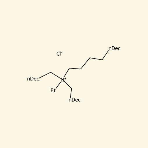 CCCCCCCCCCCCCC[N+](CC)(CCCCCCCCCCC)CCCCCCCCCCC.[Cl-]